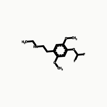 CCNCCc1cc(OC)c(OC(F)F)cc1OC